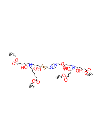 CCCOC(=O)CCCC(O)CN(CCCC(=O)OCCN1CCN(CCSSCCCCN(CC(O)CCCCC(=O)OCCC(C)C)CC(O)CCCCC(=O)OCCC(C)C)CC1)CC(O)CCCC(=O)OCCC